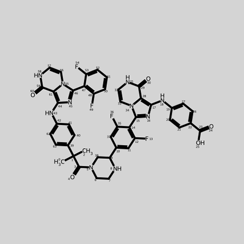 CC(C)(C(=O)N1CCNC(c2cc(F)c(-c3nc(Nc4ccc(C(=O)O)cc4)c4c(=O)[nH]ccn34)c(F)c2)C1)c1ccc(Nc2nc(-c3c(F)cccc3F)n3cc[nH]c(=O)c23)cc1